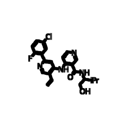 C=Cc1cnc(-c2cc(Cl)ccc2F)cc1Nc1ccncc1C(=O)NC(CO)C(C)C